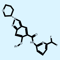 CC(C)Oc1cc2nn([C@H]3CCCOC3)cc2cc1C(=O)Nc1cccc(C(F)F)n1